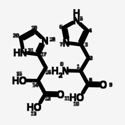 NC(Cc1c[nH]cn1)C(=O)O.O=C(O)C(O)Cc1ncc[nH]1